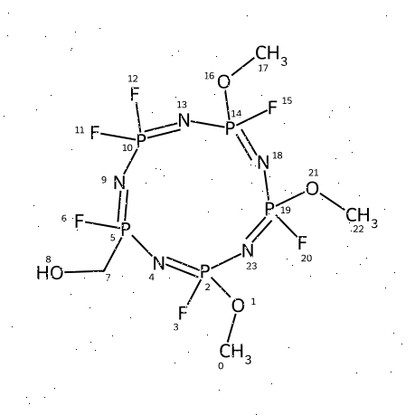 COP1(F)=NP(F)(CO)=NP(F)(F)=NP(F)(OC)=NP(F)(OC)=N1